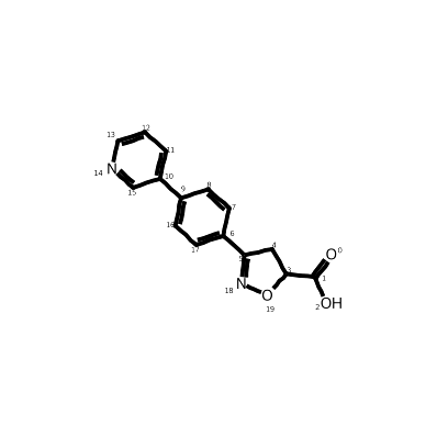 O=C(O)C1CC(c2ccc(-c3cccnc3)cc2)=NO1